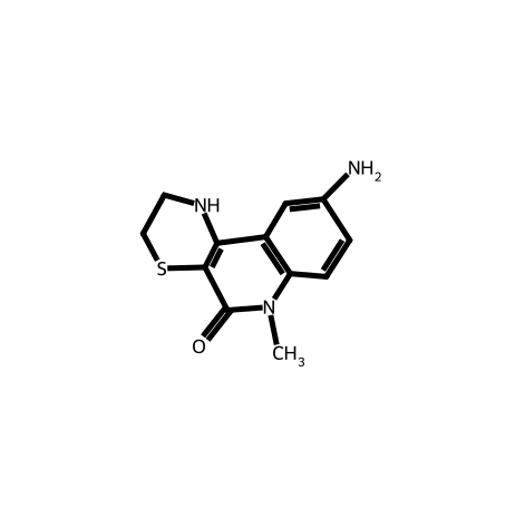 Cn1c(=O)c2c(c3cc(N)ccc31)NCCS2